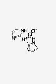 [Cl-].[Cl-].c1c[nH][c]([Hf+2][c]2ncc[nH]2)n1